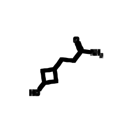 NC(=O)CCC1CC(O)C1